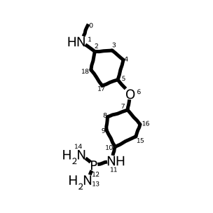 CNC1CCC(OC2CCC(NP(N)N)CC2)CC1